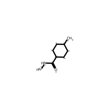 CCCNC(=O)C1CCC(C)CC1